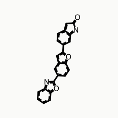 O=C1C=c2ccc(-c3cc4cc(-c5nc6ccccc6o5)ccc4o3)cc2=N1